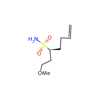 C=CCC[C@@H](CCOC)S(N)(=O)=O